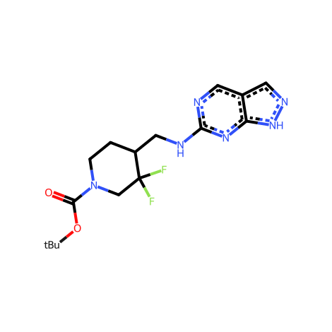 CC(C)(C)OC(=O)N1CCC(CNc2ncc3cn[nH]c3n2)C(F)(F)C1